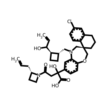 C=CC[C@H]1CCN1C(=O)CC(O)(C(=O)O)c1ccc2c(c1)N(C[C@@H]1CC[C@H]1C(O)C=C)C[C@@]1(CCCc3cc(Cl)ccc31)CO2